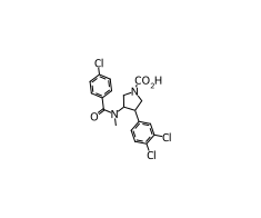 CN(C(=O)c1ccc(Cl)cc1)C1CN(C(=O)O)CC1c1ccc(Cl)c(Cl)c1